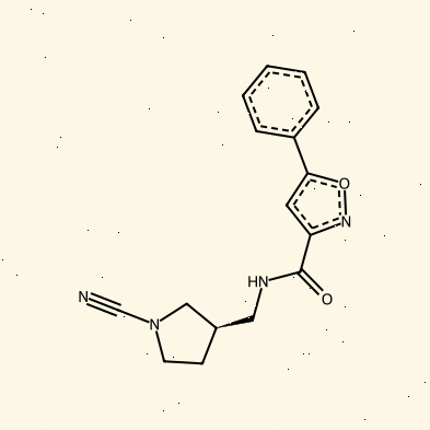 N#CN1CC[C@H](CNC(=O)c2cc(-c3ccccc3)on2)C1